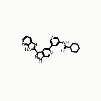 O=C(Nc1cncc(-c2cc3c(-c4nc5cccnc5[nH]4)n[nH]c3cn2)c1)C1CCCCC1